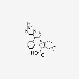 CN(N)Cc1ncccc1-c1ccccc1-c1sc2c(c1C(=O)O)CC(C)(C)CC2